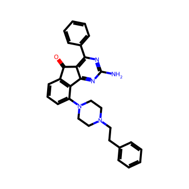 Nc1nc(-c2ccccc2)c2c(n1)-c1c(cccc1N1CCN(CCc3ccccc3)CC1)C2=O